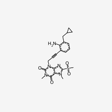 Cn1c(=O)c2c(nc(S(C)(=O)=O)n2C)n(CC#Cc2cccc(CC3CC3)c2N)c1=O